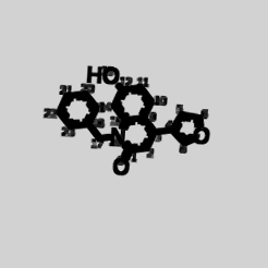 O=c1cc(-c2ccoc2)c2ccc(O)cc2n1Cc1ccccc1